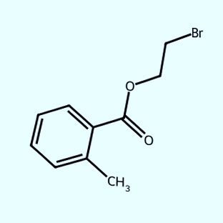 Cc1ccccc1C(=O)OCCBr